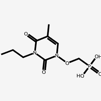 CCCn1c(=O)c(C)cn(OCP(=O)(O)O)c1=O